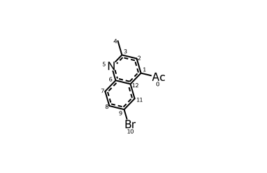 CC(=O)c1cc(C)nc2ccc(Br)cc12